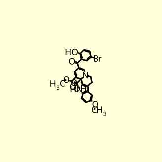 COC(=O)C1=CC(C(=O)c2cc(Br)ccc2O)=CN2CCc3c([nH]c4ccc(OC)cc34)C12C(=O)O